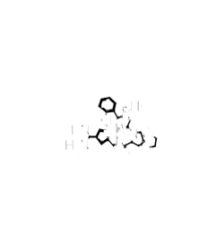 Cc1ccccc1CN(C=O)CC(=O)N1CC2(CC1C(=O)NCc1cc(C(=N)N)cs1)OCCO2